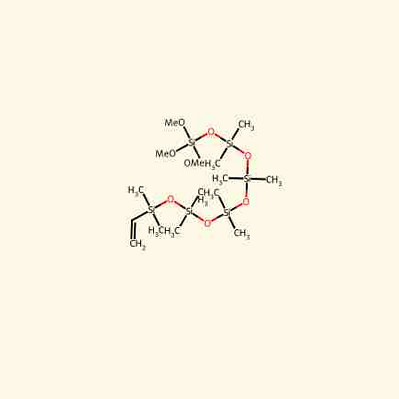 C=C[Si](C)(C)O[Si](C)(C)O[Si](C)(C)O[Si](C)(C)O[Si](C)(C)O[Si](OC)(OC)OC